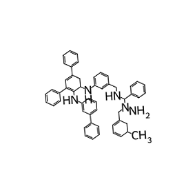 CC1C=CC=C(CN(N)C(NCc2cccc(NC3CC(c4ccccc4)=CC(c4ccccc4)=C3Nc3cccc(-c4ccccc4)c3)c2)c2ccccc2)C1